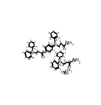 C=O.NC(=O)CCP(c1ccccc1)c1ccccc1.NC(=O)CCP(c1ccccc1)c1ccccc1.NC(=O)CCP(c1ccccc1)c1ccccc1.[Rh]